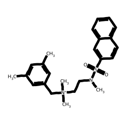 Cc1cc(C)cc(C[N+](C)(C)CCN(C)S(=O)(=O)c2ccc3ccccc3c2)c1